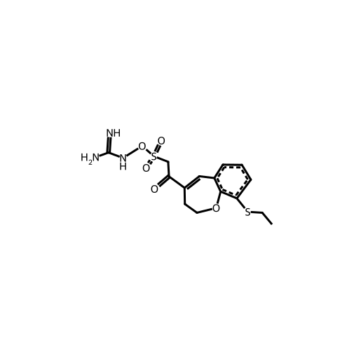 CCSc1cccc2c1OCCC(C(=O)CS(=O)(=O)ONC(=N)N)=C2